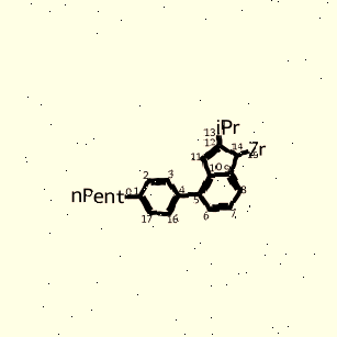 CCCCCc1ccc(-c2cccc3c2C=C(C(C)C)[CH]3[Zr])cc1